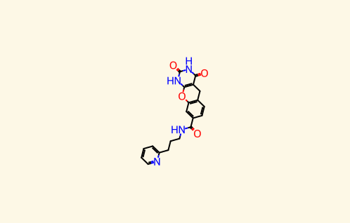 O=C(NCCCc1ccccn1)c1ccc2c(c1)Oc1[nH]c(=O)[nH]c(=O)c1C2